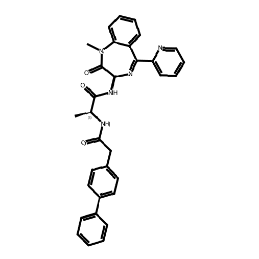 C[C@H](NC(=O)Cc1ccc(-c2ccccc2)cc1)C(=O)NC1N=C(c2ccccn2)c2ccccc2N(C)C1=O